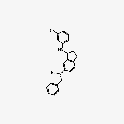 CCN(Cc1ccccc1)c1ccc2c(c1)C(Nc1cccc(Cl)c1)CC2